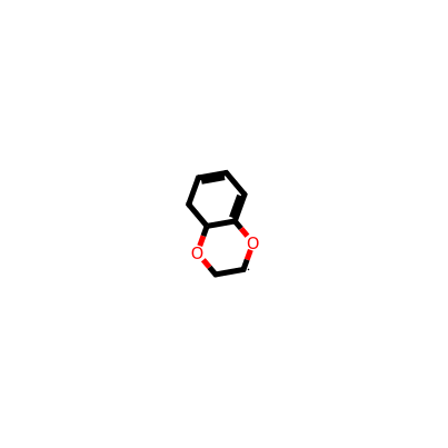 [CH]1COC2CC=CC=C2O1